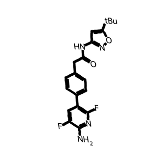 CC(C)(C)c1cc(NC(=O)Cc2ccc(-c3cc(F)c(N)nc3F)cc2)no1